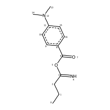 CCCC(=N)OC(=O)c1ccc(N(C)C)cc1